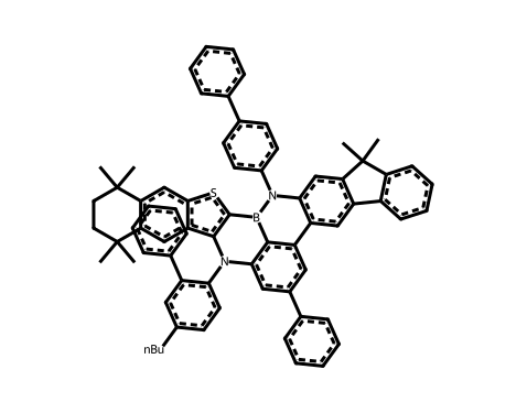 CCCCc1ccc(N2c3cc(-c4ccccc4)cc4c3B(c3sc5cc6c(cc5c32)C(C)(C)CCC6(C)C)N(c2ccc(-c3ccccc3)cc2)c2cc3c(cc2-4)-c2ccccc2C3(C)C)c(-c2ccccc2)c1